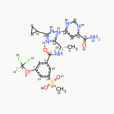 C[C@H](NC(=O)c1cc(OC(F)(F)F)cc(S(C)(=O)=O)c1)c1nc(C2CC2)nn1-c1cc(C(N)=O)ncn1